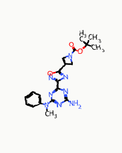 CN(c1ccccc1)c1nc(N)nc(-c2noc(C3CN(C(=O)OC(C)(C)C)C3)n2)n1